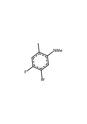 CNc1cc(Br)c(F)cc1C